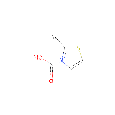 O=CO.[Li][c]1nccs1